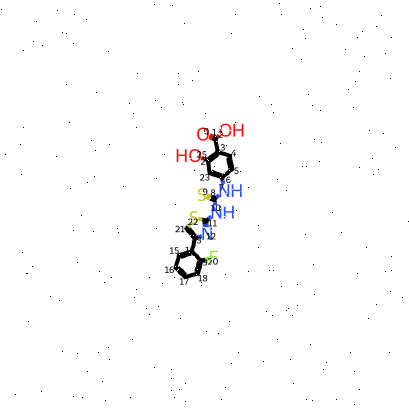 O=C(O)c1ccc(NC(=S)Nc2nc(-c3ccccc3F)cs2)cc1O